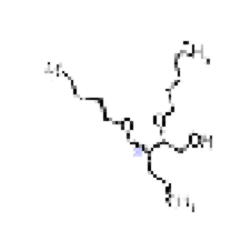 C=CC/C(=C/OCCCCC)C(CO)OCCCCC